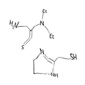 CCN(CC)C(N)=S.SC1=NCCN1